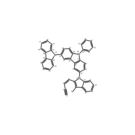 C#C/C=C\c1c(C)c2ccccc2n1-c1ccc2c(c1)c1cc(-n3c4ccccc4c4ccccc43)ccc1n2-c1ccccc1